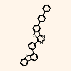 c1ccc(-c2ccc(-c3ccc4oc5c(-c6cccc(-c7cccc8c7sc7ccccc78)c6)ncnc5c4c3)cc2)cc1